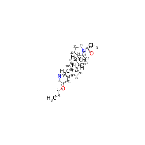 CCCOc1cncc(C2=CC[C@H]3[C@@H]4CCC5N(C(C)=O)CCC[C@]5(C)[C@H]4CC[C@]23C)c1